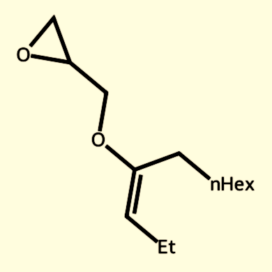 CCC=C(CCCCCCC)OCC1CO1